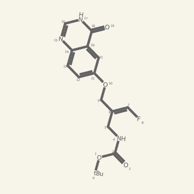 CC(C)(C)OC(=O)NCC(=CF)COc1ccc2nc[nH]c(=O)c2c1